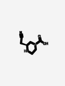 N#CC[C@H]1CN(C(=O)O)CCN1